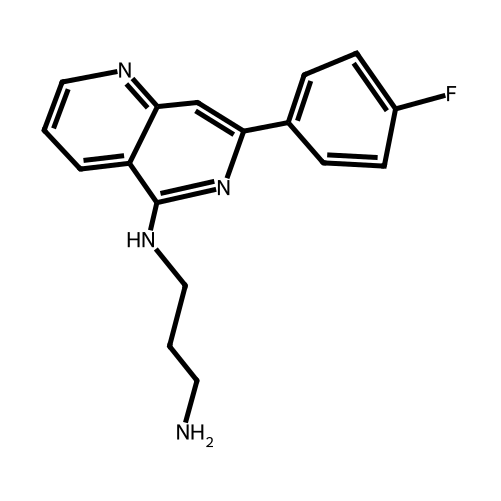 NCCCNc1nc(-c2ccc(F)cc2)cc2ncccc12